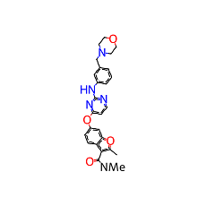 CNC(=O)c1c(C)oc2cc(Oc3ccnc(Nc4cccc(CN5CCOCC5)c4)n3)ccc12